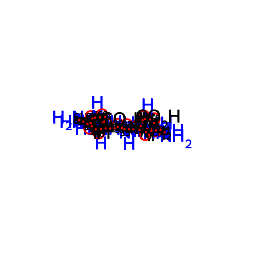 CC(C)[C@@H]1NC(=O)[C@@H](CCCNC(=N)N)NC(=O)CNC(=O)[C@@H](CC(=O)O)NC(=O)C(CCCCNC(=O)C(=N)CCC(=O)NCCCC[C@H]2NC(=O)[C@H](C(C)C)NC(=O)[C@@H](CCCNC(=N)N)NC(=O)CNC(=O)[C@@H](CC(=O)O)NC2=O)NC1=O